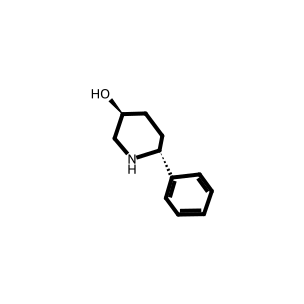 O[C@H]1CC[C@H](c2ccccc2)NC1